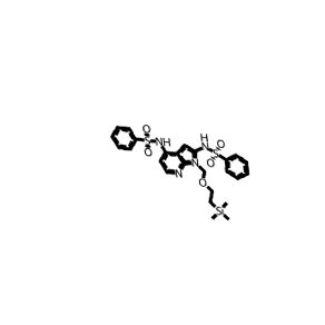 C[Si](C)(C)CCOCn1c(NS(=O)(=O)c2ccccc2)cc2c(NS(=O)(=O)c3ccccc3)ccnc21